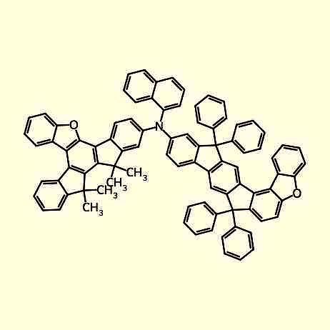 CC1(C)c2cc(N(c3ccc4c(c3)C(c3ccccc3)(c3ccccc3)c3cc5c(cc3-4)C(c3ccccc3)(c3ccccc3)c3ccc4oc6ccccc6c4c3-5)c3cccc4ccccc34)ccc2-c2c1c1c(c3c2oc2ccccc23)-c2ccccc2C1(C)C